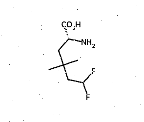 CC(C)(CC(F)F)C[C@@H](N)C(=O)O